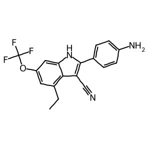 CCc1cc(OC(F)(F)F)cc2[nH]c(-c3ccc(N)cc3)c(C#N)c12